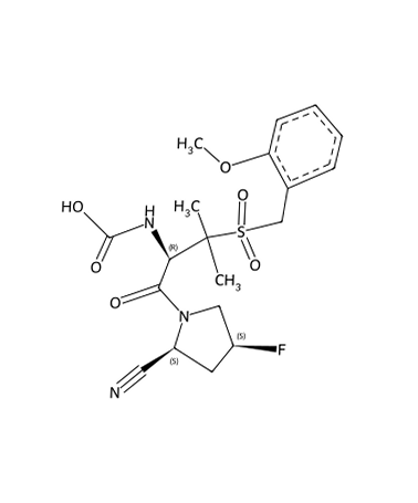 COc1ccccc1CS(=O)(=O)C(C)(C)[C@H](NC(=O)O)C(=O)N1C[C@@H](F)C[C@H]1C#N